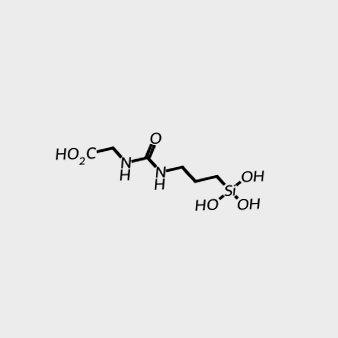 O=C(O)CNC(=O)NCCC[Si](O)(O)O